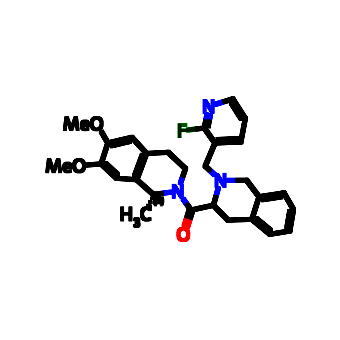 COc1cc2c(cc1OC)[C@@H](C)N(C(=O)C1Cc3ccccc3CN1Cc1cccnc1F)CC2